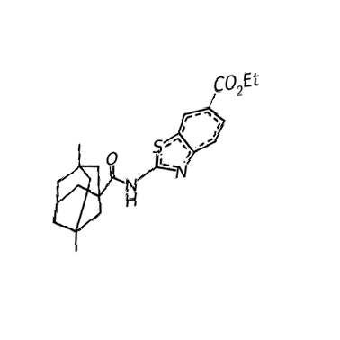 CCOC(=O)c1ccc2nc(NC(=O)C34CC5CC(C)(CC(C)(C5)C3)C4)sc2c1